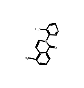 Cc1ccncc1-n1ccc2c(N)cccc2c1=O